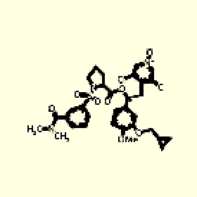 COc1ccc([C@H](Cc2c(Cl)c[n+]([O-])cc2Cl)OC(=O)C2CCCN2S(=O)(=O)c2cccc(C(=O)N(C)C)c2)cc1OCC1CC1